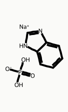 O=P([O-])(O)O.[Na+].c1ccc2[nH]cnc2c1